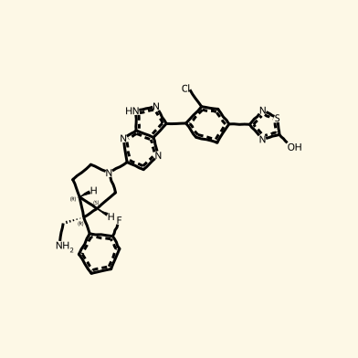 NC[C@]1(c2ccccc2F)[C@@H]2CCN(c3cnc4c(-c5ccc(-c6nsc(O)n6)cc5Cl)n[nH]c4n3)C[C@@H]21